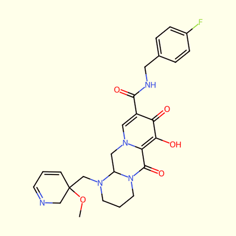 COC1(CN2CCCN3C(=O)c4c(O)c(=O)c(C(=O)NCc5ccc(F)cc5)cn4CC23)C=CC=NC1